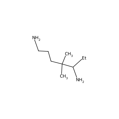 CCC(N)C(C)(C)CCCN